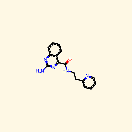 Nc1nc(C(=O)NCCc2ccccn2)c2ccccc2n1